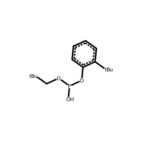 CC(C)(C)COP(O)Oc1ccccc1C(C)(C)C